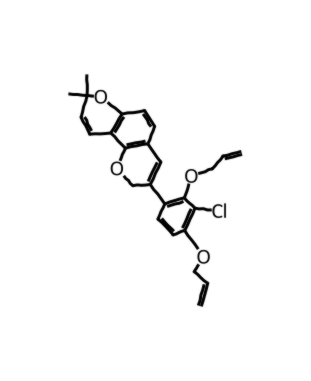 C=CCOc1ccc(C2=Cc3ccc4c(c3OC2)C=CC(C)(C)O4)c(OCC=C)c1Cl